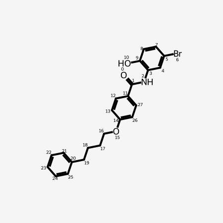 O=C(Nc1cc(Br)ccc1O)c1ccc(OCCCCc2ccccc2)cc1